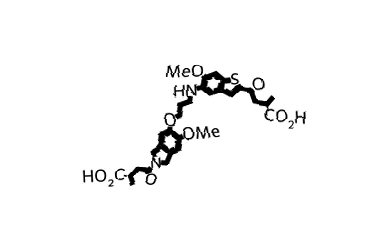 COc1cc2sc(C(=O)C[C@H](C)C(=O)O)cc2cc1NCCCOc1cc2c(cc1OC)CN(C(=O)C[C@H](C)C(=O)O)C2